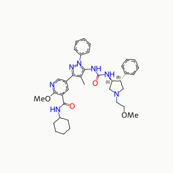 COCCN1C[C@@H](NC(=O)Nc2c(C)c(-c3cnc(OC)c(C(=O)NC4CCCCC4)c3)nn2-c2ccccc2)[C@H](c2ccccc2)C1